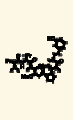 CCC(C)C(C(CC(=O)N1CCCC1C(SC)C(C)C(=O)N(C)CCc1cccc(O)c1)OC)N(C)C(=O)C(NC(=O)C(C(C)C)N(C)C)C(C)C